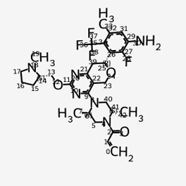 C=CC(=O)N1C[C@@H](C)N(c2nc(OC[C@@H]3CCCN3C)nc3c2CO[C@@H](c2c(F)c(N)cc(C)c2C(F)(F)F)C3)C[C@@H]1C